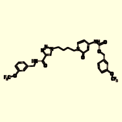 O=C(Nc1ccn(CCCCn2cc(C(=O)NCc3cccc(OC(F)(F)F)c3)nn2)c(=O)c1)OCc1cccc(OC(F)(F)F)c1